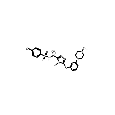 CCn1c(Oc2cccc(N3CCN(C)CC3)c2)nnc1[C@@H](C)NS(=O)(=O)c1ccc(Cl)cc1